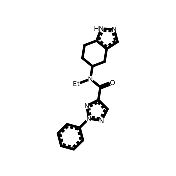 CCN(C(=O)c1cnn(-c2ccccc2)n1)C1CCc2[nH]ncc2C1